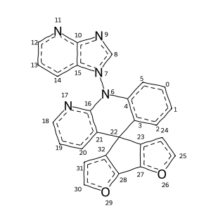 c1ccc2c(c1)N(n1cnc3ncccc31)c1ncccc1C21c2ccoc2-c2occc21